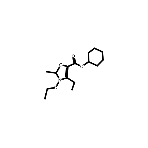 CCON1C(CC)=C(C(=O)OC2CCCCC2)OC1C